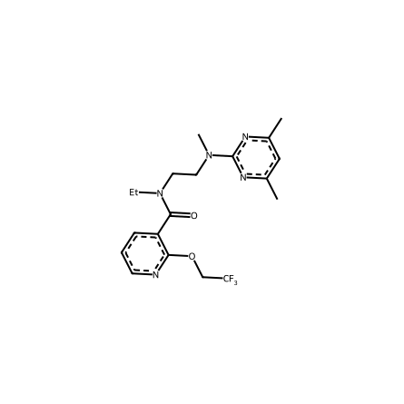 CCN(CCN(C)c1nc(C)cc(C)n1)C(=O)c1cccnc1OCC(F)(F)F